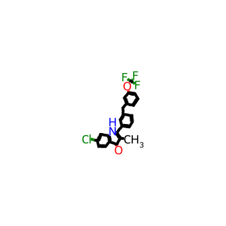 Cc1c(-c2cccc(Cc3cccc(OC(F)(F)F)c3)c2)[nH]c2cc(Cl)ccc2c1=O